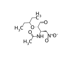 CCC(CC)O[C@H](C=O)[C@@H](C[N+](=O)[O-])NC(C)=O